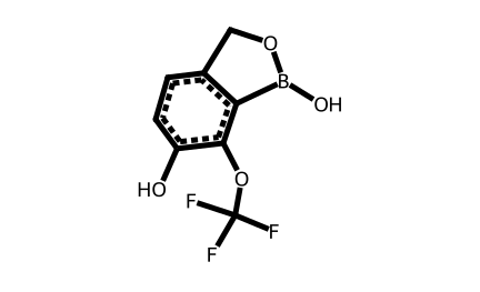 OB1OCc2ccc(O)c(OC(F)(F)F)c21